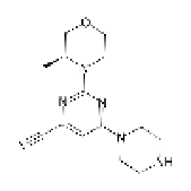 C[C@H]1COCCN1c1nc(C#N)cc(N2CCNCC2)n1